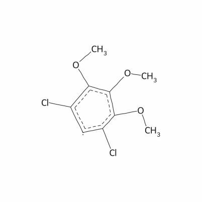 COc1c(Cl)[c]c(Cl)c(OC)c1OC